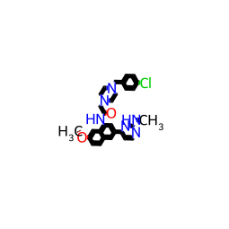 CNc1nccc(-c2cc(NC(=O)CN3CCN(Cc4ccc(Cl)cc4)CC3)c3cc(OC)ccc3c2)n1